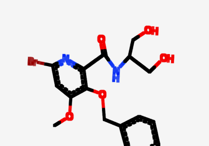 COc1cc(Br)nc(C(=O)NC(CO)CO)c1OCc1ccccc1